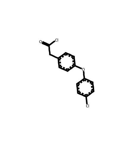 O=C(Cl)Cc1ccc(Oc2ccc(Cl)cc2)cc1